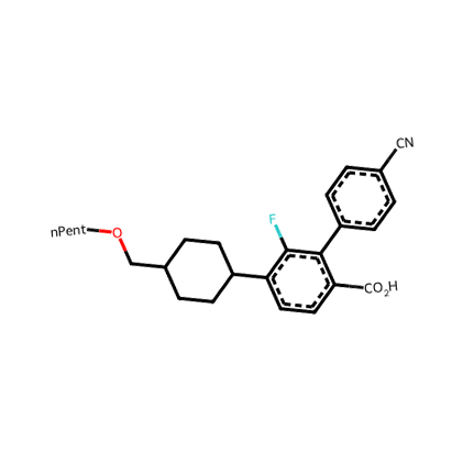 CCCCCOCC1CCC(c2ccc(C(=O)O)c(-c3ccc(C#N)cc3)c2F)CC1